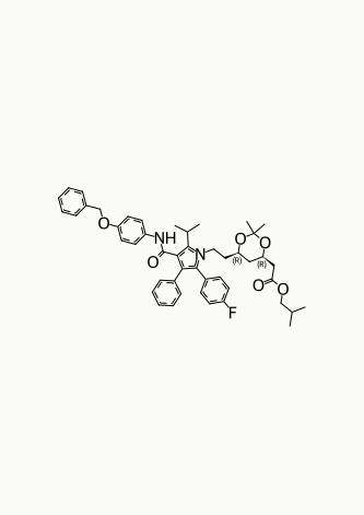 CC(C)COC(=O)C[C@H]1C[C@@H](CCn2c(-c3ccc(F)cc3)c(-c3ccccc3)c(C(=O)Nc3ccc(OCc4ccccc4)cc3)c2C(C)C)OC(C)(C)O1